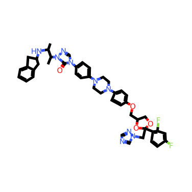 CC(NC1Cc2ccccc2C1)C(C)n1ncn(-c2ccc(N3CCN(c4ccc(OCC5COC(Cn6cncn6)(c6ccc(F)cc6F)O5)cc4)CC3)cc2)c1=O